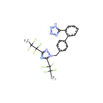 FC(F)(F)C(F)(F)C(F)(F)c1nc(C(F)(F)C(F)(F)C(F)(F)F)n(Cc2ccc(-c3ccccc3-c3nnn[nH]3)cc2)n1